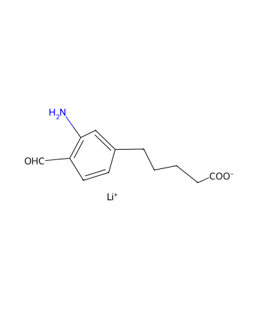 Nc1cc(CCCCC(=O)[O-])ccc1C=O.[Li+]